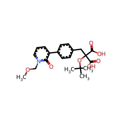 COCn1cccc(-c2ccc(CC(OC(C)(C)C)(C(=O)O)C(=O)O)cc2)c1=O